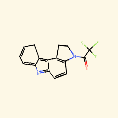 O=C(N1CCc2c1ccc1c2=C2CC=CC=C2N=1)C(F)(F)F